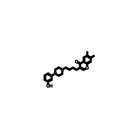 Cc1cc2occ(CCCCN3CCN(c4cccc(O)c4)CC3)c(=O)c2cc1C